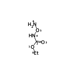 CCOC(=O)NON